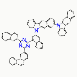 c1ccc2cc(-c3nc(-c4ccc5ccc6ccccc6c5c4)nc(-c4cc(-n5c6ccccc6c6cc7ccc(-n8c9ccccc9c9cc%10ccccc%10cc98)cc7cc65)cc5ccccc45)n3)ccc2c1